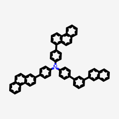 c1cc(-c2ccc(N(c3ccc(-c4ccc5c(ccc6ccccc65)c4)cc3)c3ccc(-c4cccc5c4ccc4ccccc45)cc3)cc2)cc(-c2ccc3ccccc3c2)c1